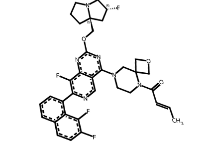 CC=CC(=O)N1CCN(c2nc(OC[C@@]34CCCN3C[C@H](F)C4)nc3c(F)c(-c4cccc5ccc(F)c(F)c45)ncc23)CC12COC2